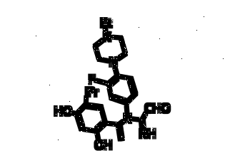 C=C(c1cc(C(C)C)c(O)cc1O)N(C(=N)C=O)c1ccc(N2CCN(CC)CC2)c(F)c1